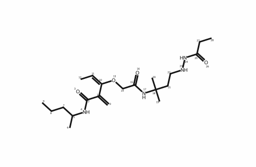 C=C(C(=O)NC(C)CCC)/C(=C\C)OCC(=O)NC(C)(C)CCNNC(=O)CC